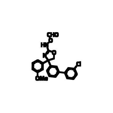 COc1cccc(C2(c3cccc(-c4cccc(Cl)c4)c3)COC(NOC=O)=N2)c1